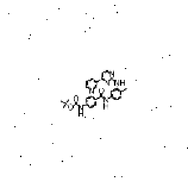 Cc1ccc(NC(=O)c2ccc(NC(=O)OC(C)(C)C)cc2)cc1Nc1nccc(-c2cccnc2)n1